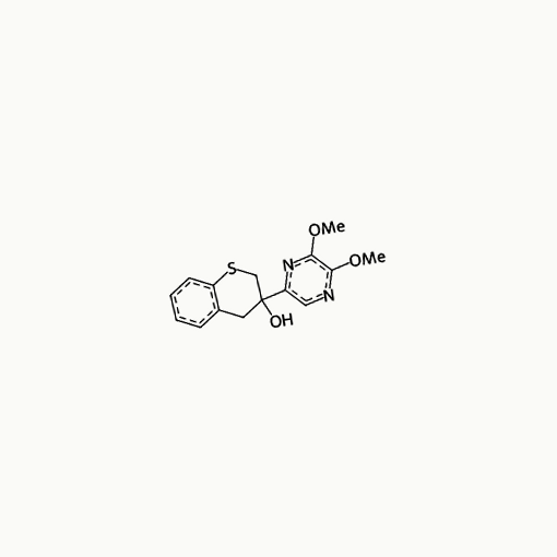 COc1ncc(C2(O)CSc3ccccc3C2)nc1OC